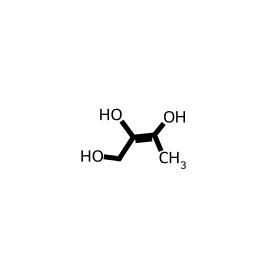 C/C(O)=C(/O)CO